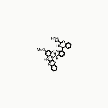 COc1cc(Nc2nc3ccccc3nc2NS(=O)(=O)c2cccc(C(NC(=O)C3CNC3)c3ccccc3)c2)cc(OC)c1